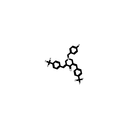 O=C1C(=Cc2ccc(C(F)(F)F)cc2)CN(Cc2ccc(F)cc2)CC1=Cc1ccc(C(F)(F)F)cc1